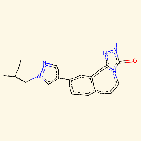 CC(C)Cn1cc(-c2ccc3ccn4c(=O)[nH]nc4c3c2)cn1